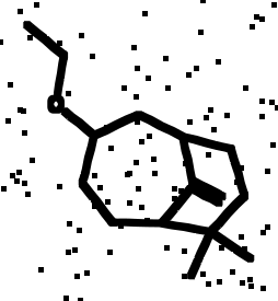 C=C1C2CCC(C)(C)C1CCC(OCC)C2